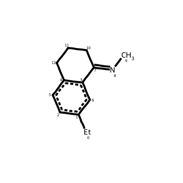 CCc1ccc2c(c1)/C(=N/C)CCC2